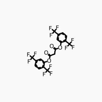 O=C(CC(=O)Oc1cc(C(F)(F)F)ccc1C(F)(F)F)Oc1cc(C(F)(F)F)ccc1C(F)(F)F